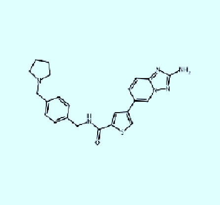 Nc1nc2ccc(-c3csc(C(=O)NCc4ccc(CN5CCCC5)cc4)c3)cn2n1